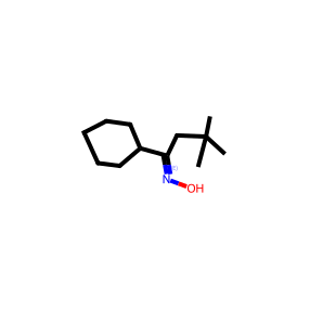 CC(C)(C)C/C(=N\O)C1CCCCC1